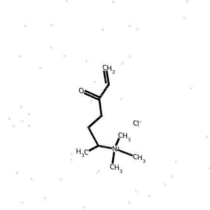 C=CC(=O)CCC(C)[N+](C)(C)C.[Cl-]